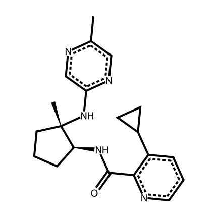 Cc1cnc(N[C@@]2(C)CCC[C@@H]2NC(=O)c2ncccc2C2CC2)cn1